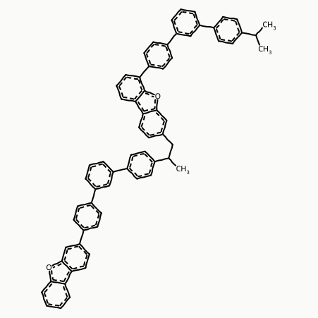 CC(C)c1ccc(-c2cccc(-c3ccc(-c4cccc5c4oc4cc(CC(C)c6ccc(-c7cccc(-c8ccc(-c9ccc%10c(c9)oc9ccccc9%10)cc8)c7)cc6)ccc45)cc3)c2)cc1